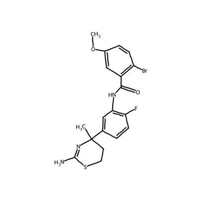 COc1ccc(Br)c(C(=O)Nc2cc(C3(C)CCSC(N)=N3)ccc2F)c1